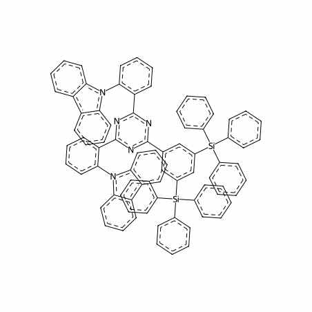 c1ccc([Si](c2ccccc2)(c2ccccc2)c2cc(-c3nc(-c4ccccc4-n4c5ccccc5c5ccccc54)nc(-c4ccccc4-n4c5ccccc5c5ccccc54)n3)cc([Si](c3ccccc3)(c3ccccc3)c3ccccc3)c2)cc1